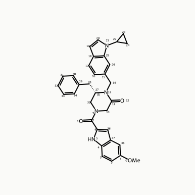 COc1ccc2[nH]c(C(=O)N3CC(=O)N(Cc4ccc5ccn(C6CC6)c5c4)[C@@H](Cc4ccccc4)C3)cc2c1